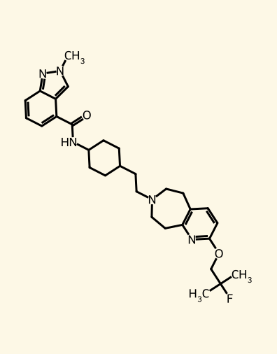 Cn1cc2c(C(=O)NC3CCC(CCN4CCc5ccc(OCC(C)(C)F)nc5CC4)CC3)cccc2n1